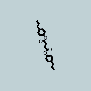 C=CCc1ccc(OC(=O)CCC(=O)Oc2ccc(CC=C)cc2)cc1